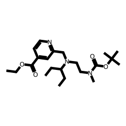 CCOC(=O)c1ccnc(CN(CCN(C)C(=O)OC(C)(C)C)C(CC)CC)c1